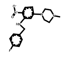 CN1CCN(c2ccc([N+](=O)[O-])c(NCc3ccc(F)cc3)c2)CC1